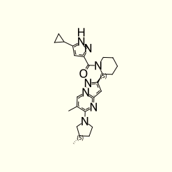 Cc1cn2nc([C@@H]3CCCCN3C(=O)c3cc(C4CC4)[nH]n3)cc2nc1N1CC[C@H](C)C1